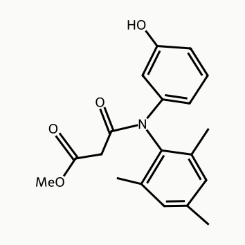 COC(=O)CC(=O)N(c1cccc(O)c1)c1c(C)cc(C)cc1C